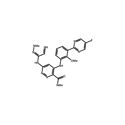 CN/N=C(\C=N)Nc1cc(Nc2cccc(-c3ncc(F)cn3)c2OC)c(C(=O)NC)nn1